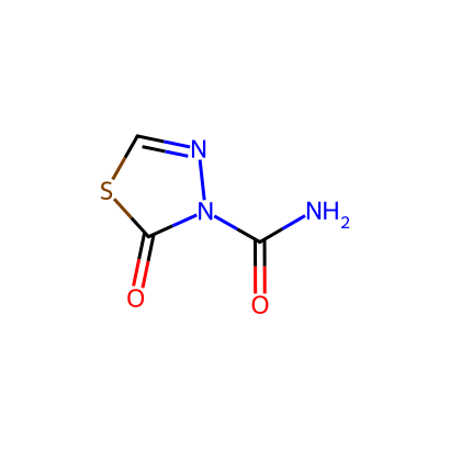 NC(=O)n1ncsc1=O